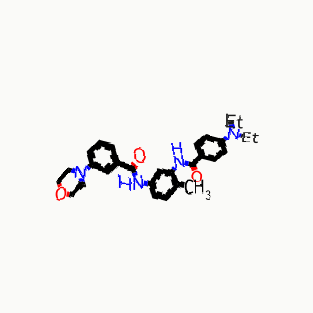 CCN(CC)c1ccc(C(=O)Nc2cc(NC(=O)c3cccc(N4CCOCC4)c3)ccc2C)cc1